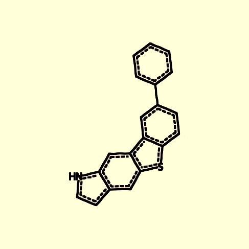 c1ccc(-c2ccc3sc4cc5cc[nH]c5cc4c3c2)cc1